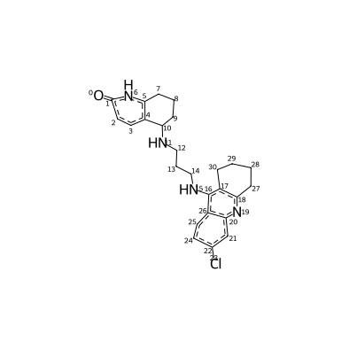 O=c1ccc2c([nH]1)CCCC2NCCCNc1c2c(nc3cc(Cl)ccc13)CCCC2